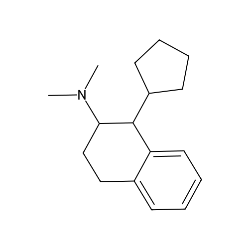 CN(C)C1CCc2ccccc2C1C1CCCC1